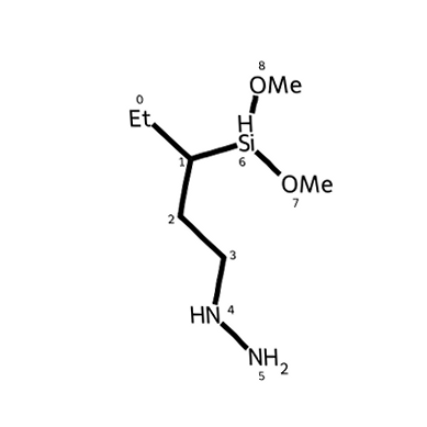 CCC(CCNN)[SiH](OC)OC